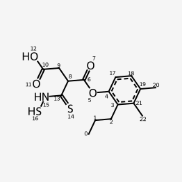 CCCc1c(OC(=O)C(CC(=O)O)C(=S)NS)ccc(C)c1C